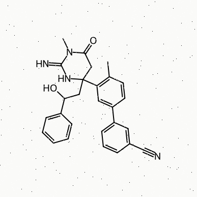 Cc1ccc(-c2cccc(C#N)c2)cc1C1(CC(O)c2ccccc2)CC(=O)N(C)C(=N)N1